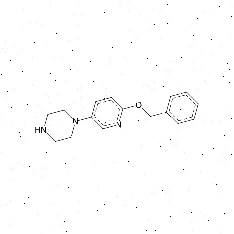 c1ccc(COc2ccc(N3CCNCC3)cn2)cc1